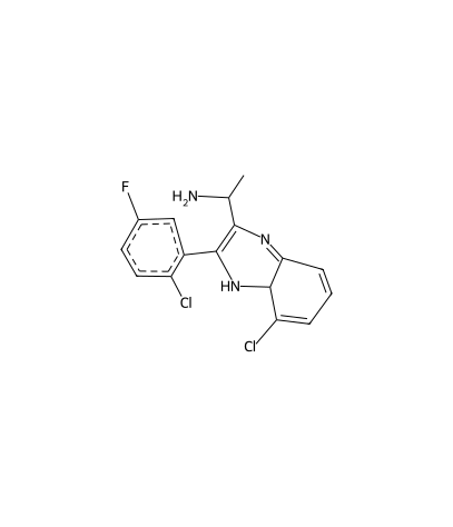 CC(N)C1=C(c2cc(F)ccc2Cl)NC2C(Cl)=CC=CC2=N1